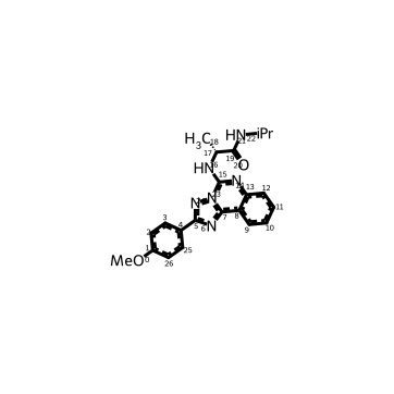 COc1ccc(-c2nc3c4ccccc4nc(N[C@H](C)C(=O)NC(C)C)n3n2)cc1